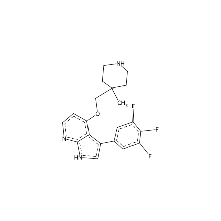 CC1(COc2ccnc3[nH]cc(-c4cc(F)c(F)c(F)c4)c23)CCNCC1